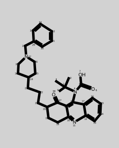 CC(C)(C)N(C(=O)O)c1c2c(nc3ccccc13)CCC(CCCC1CCN(Cc3ccccc3)CC1)C2=O